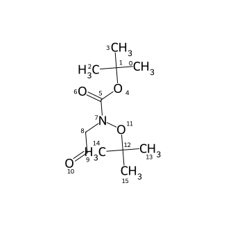 CC(C)(C)OC(=O)N(CC=O)OC(C)(C)C